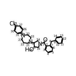 O=C(c1ccccc1Cc1ccccc1)N1CC(O)C(N2CCCN(c3ccc(Cl)cc3)CC2)C1